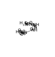 Cn1ncc2cc(C(=O)Nc3ccc4[nH]c(CN5CCC(CCNC(=O)CCCCCCCNc6cccc7c6C(=O)N(C6CCC(=O)NC6=O)C7=O)C5)nc4c3)ccc21